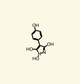 Oc1ccc(-c2c(O)nn(O)c2O)cc1